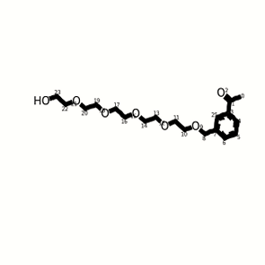 CC(=O)c1cccc(COCCOCCOCCOCCOCCO)c1